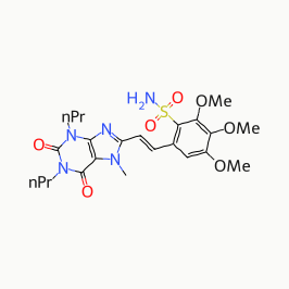 CCCn1c(=O)c2c(nc(/C=C/c3cc(OC)c(OC)c(OC)c3S(N)(=O)=O)n2C)n(CCC)c1=O